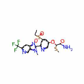 CCS(=O)(=O)c1cc(OC(SC)C(N)=O)cnc1-c1nc2cc(C(F)(F)F)ncc2n1C